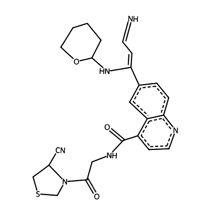 N#CC1CSCN1C(=O)CNC(=O)c1ccnc2ccc(/C(=C/C=N)NC3CCCCO3)cc12